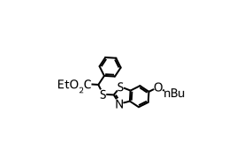 CCCCOc1ccc2nc(SC(C(=O)OCC)c3ccccc3)sc2c1